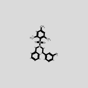 Cc1cc(C)c(S(=O)(=O)N(CCc2cccc(Br)c2)Cc2ccccc2)c(C)c1